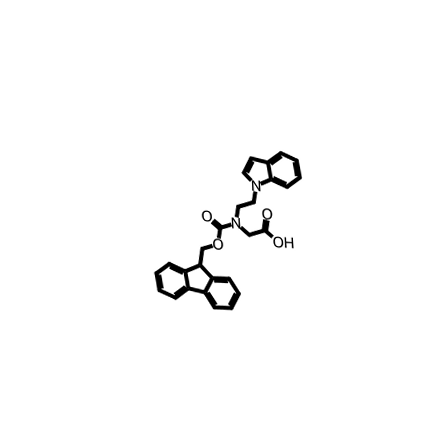 O=C(O)CN(CCn1ccc2ccccc21)C(=O)OCC1c2ccccc2-c2ccccc21